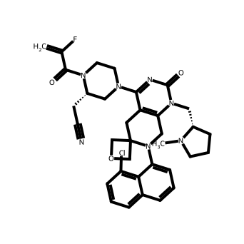 C=C(F)C(=O)N1CCN(c2nc(=O)n(C[C@@H]3CCCN3C)c3c2CC2(COC2)N(c2cccc4cccc(Cl)c24)C3)C[C@@H]1CC#N